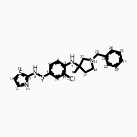 CC1(Nc2ccc(SNc3nccs3)cc2Cl)CCN(Cc2ccccc2)C1